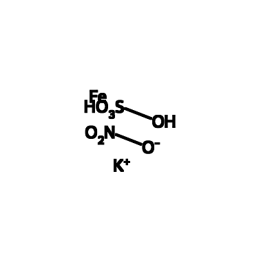 O=S(=O)(O)O.O=[N+]([O-])[O-].[Fe].[K+]